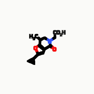 CC1CN(CC(=O)O)C(=O)c2cc(C3CC3)oc21